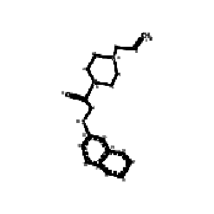 C=CCN1CCN(C(=O)CSc2ccc3ccccc3c2)CC1